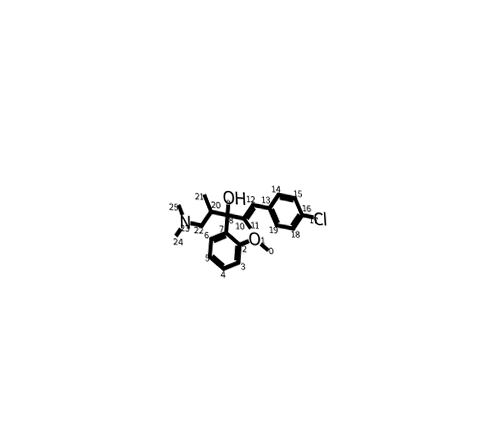 COc1ccccc1C(O)(C(C)=Cc1ccc(Cl)cc1)C(C)CN(C)C